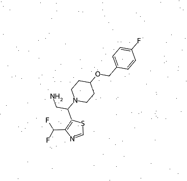 NCC(c1scnc1C(F)F)N1CCC(OCc2ccc(F)cc2)CC1